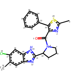 Cc1nc(C(=O)N2CCCC2c2nc3cc(C(F)(F)F)c(Cl)cc3[nH]2)c(-c2ccccc2)s1